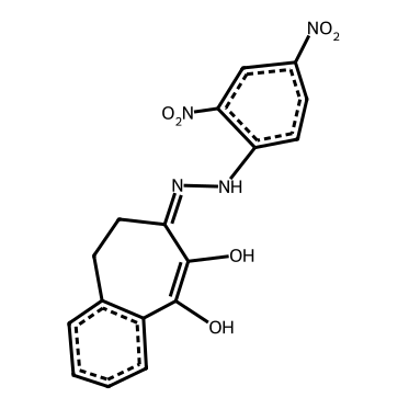 O=[N+]([O-])c1ccc(NN=C2CCc3ccccc3C(O)=C2O)c([N+](=O)[O-])c1